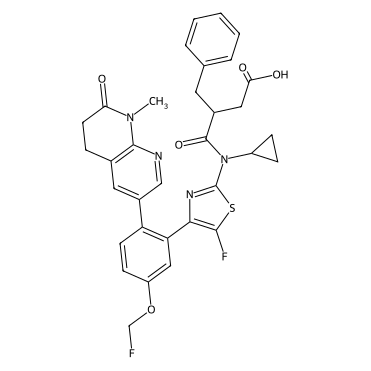 CN1C(=O)CCc2cc(-c3ccc(OCF)cc3-c3nc(N(C(=O)C(CC(=O)O)Cc4ccccc4)C4CC4)sc3F)cnc21